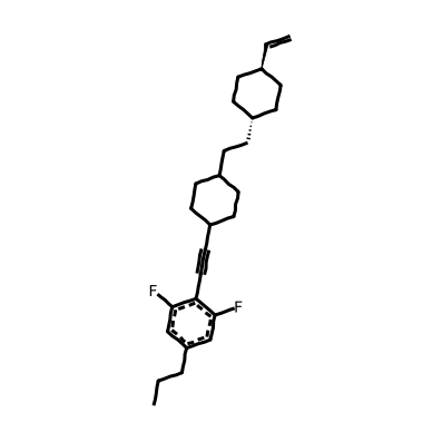 C=C[C@H]1CC[C@H](CCC2CCC(C#Cc3c(F)cc(CCC)cc3F)CC2)CC1